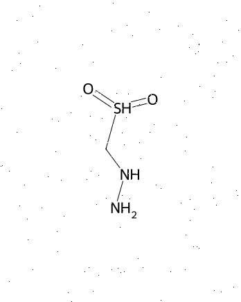 NNC[SH](=O)=O